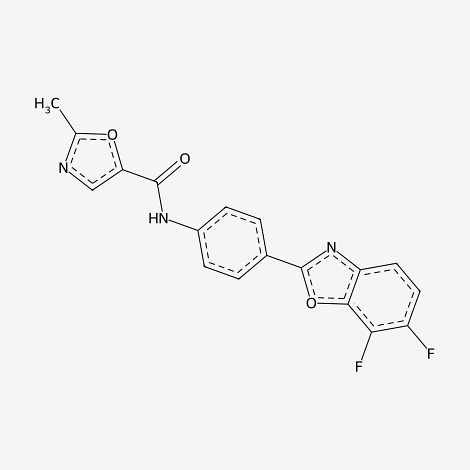 Cc1ncc(C(=O)Nc2ccc(-c3nc4ccc(F)c(F)c4o3)cc2)o1